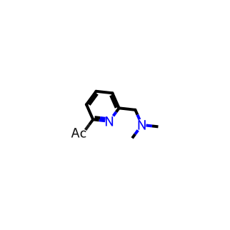 CC(=O)c1cccc(CN(C)C)n1